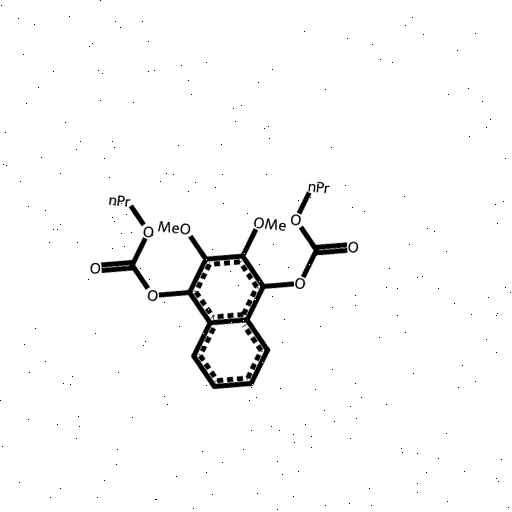 CCCOC(=O)Oc1c(OC)c(OC)c(OC(=O)OCCC)c2ccccc12